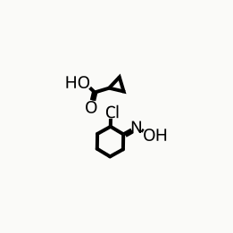 O=C(O)C1CC1.ON=C1CCCCC1Cl